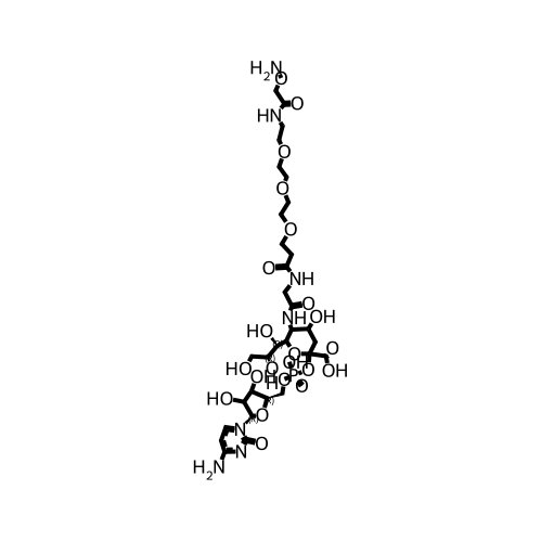 NOCC(=O)NCCOCCOCCOCCC(=O)NCC(=O)NC1C(O)CC(OP(=O)(O)OC[C@H]2O[C@@H](n3ccc(N)nc3=O)C(O)C2O)(C(=O)O)OC1[C@H](O)[C@H](O)CO